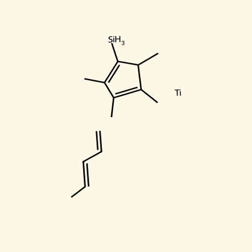 C=CC=CC.CC1=C(C)C(C)C([SiH3])=C1C.[Ti]